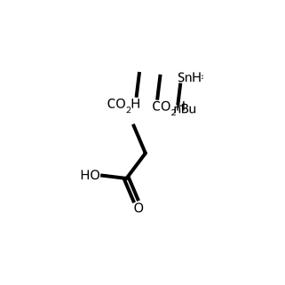 CC(=O)O.CC(=O)O.CCC(=O)O.CCC[CH2][SnH]